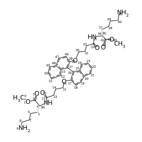 COC(=O)[C@@H](CCCCN)NC(=O)CCCOc1ccc2ccccc2c1-c1c(OCCCC(=O)N[C@H](CCCCN)C(=O)OC)ccc2ccccc12